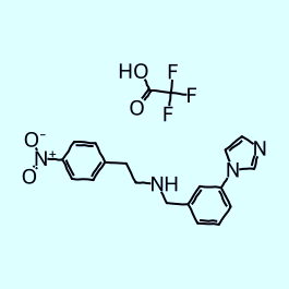 O=C(O)C(F)(F)F.O=[N+]([O-])c1ccc(CCNCc2cccc(-n3ccnc3)c2)cc1